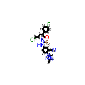 CSC(=NC(=O)C(CCCCl)c1ccc(F)cc1)Nc1ccc(-n2cnc(C)n2)c(C#N)c1